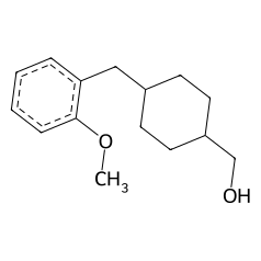 COc1ccccc1CC1CCC(CO)CC1